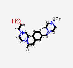 CC(C)N1CCN(CC2CCCC(CC(C)N3CCN(CCO)CC3)C2)CC1